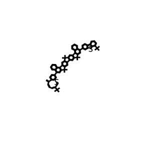 C=C1/C=C\C=C(\C(C)(C)C)CSc2cc(-c3cc4c(c5ccccc35)-c3cc5c(cc3C4(C)C)-c3cc4c(cc3C5(C)C)-c3c(cc(-c5ccc6c(c5)sc5c(C(C)(C)C)cccc56)c5ccccc35)C4(C)C)ccc21